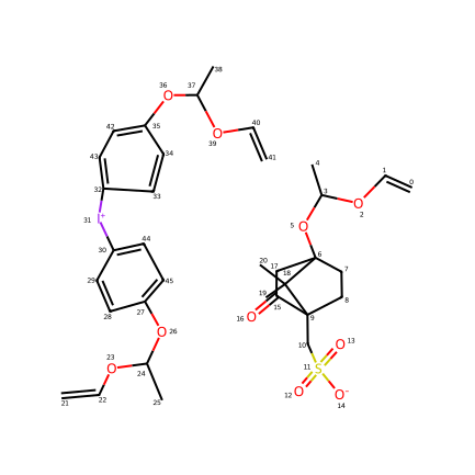 C=COC(C)OC12CCC(CS(=O)(=O)[O-])(C(=O)C1)C2(C)C.C=COC(C)Oc1ccc([I+]c2ccc(OC(C)OC=C)cc2)cc1